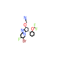 N#CCOC1C[C@H](c2ccccc2OC(F)F)c2c1nc1cc(F)c(Br)cn21